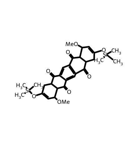 COC1C=C(O[Si](C)(C)C)CC2C(=O)c3cc4c(cc3C(=O)C12)C(=O)C1CC(O[Si](C)(C)C)=CC(OC)C1C4=O